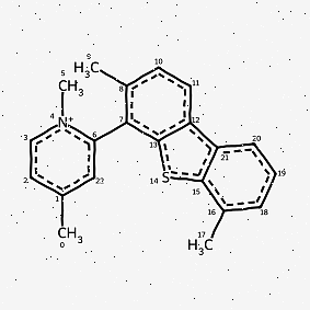 Cc1cc[n+](C)c(-c2c(C)ccc3c2sc2c(C)cccc23)c1